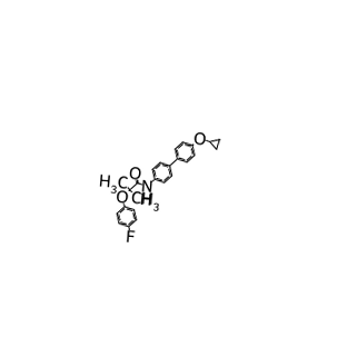 CC(C)(Oc1ccc(F)cc1)C(=O)Nc1ccc(-c2ccc(OC3CC3)cc2)cc1